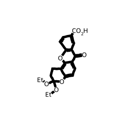 CCOC1(OCC)CCc2c(ccc3c(=O)c4cc(C(=O)O)ccc4oc23)O1